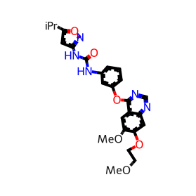 COCCOc1cc2ncnc(Oc3cccc(NC(=O)Nc4cc(C(C)C)on4)c3)c2cc1OC